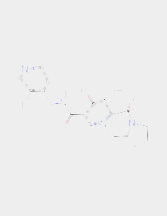 O=C(NCc1ccncc1F)c1cn2c(c(O)c1=O)C(=O)N1CCOC1C2